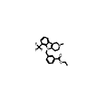 CCOC(=O)c1cccc(Cn2c3c(c4cccc(C(F)(F)F)c42)CN(C)CC3)c1